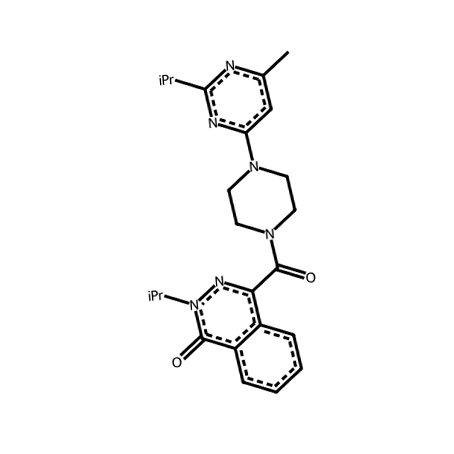 Cc1cc(N2CCN(C(=O)c3nn(C(C)C)c(=O)c4ccccc34)CC2)nc(C(C)C)n1